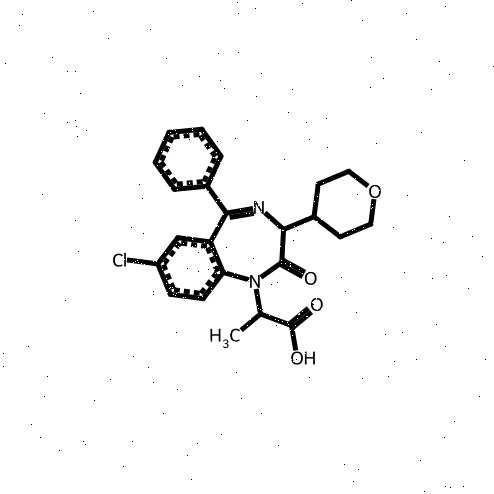 CC(C(=O)O)N1C(=O)C(C2CCOCC2)N=C(c2ccccc2)c2cc(Cl)ccc21